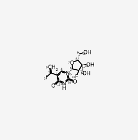 C=C(I)c1cn([C@@H]2O[C@H](CO)[C@@H](O)[C@@]2(O)F)c(=O)[nH]c1=O